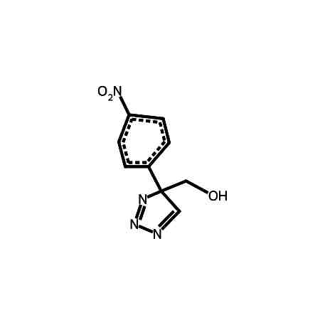 O=[N+]([O-])c1ccc(C2(CO)C=NN=N2)cc1